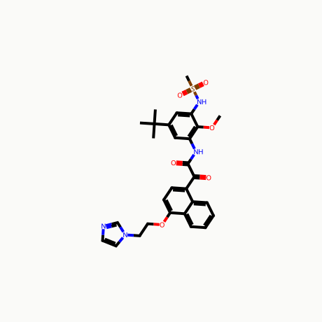 COc1c(NC(=O)C(=O)c2ccc(OCCn3ccnc3)c3ccccc23)cc(C(C)(C)C)cc1NS(C)(=O)=O